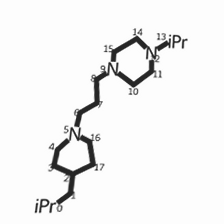 CC(C)CC1CCN(CCCN2CCN(C(C)C)CC2)CC1